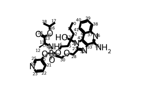 CCCC(O)(CCO[P@@](=O)(N[C@@H](C)C(=O)OC(C)C)Oc1cccnc1)n1c(COCC)nc2c(N)nc3ccccc3c21